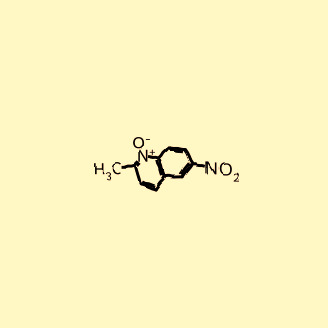 Cc1ccc2cc([N+](=O)[O-])ccc2[n+]1[O-]